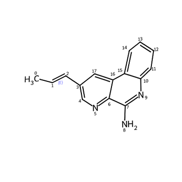 C/C=C/c1cnc2c(N)nc3ccccc3c2c1